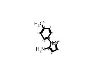 Cc1ccc(-n2nccc2N)cc1